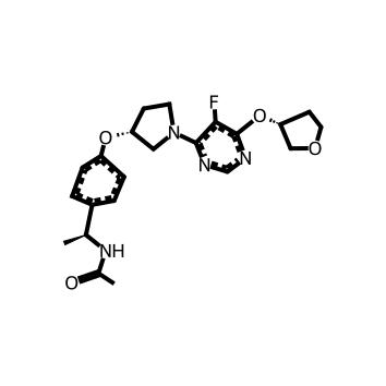 CC(=O)N[C@@H](C)c1ccc(O[C@@H]2CCN(c3ncnc(O[C@@H]4CCOC4)c3F)C2)cc1